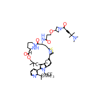 CO[C@@H](C)c1ncccc1-c1c2c3cc(ccc3n1CC(F)(F)F)-c1csc(n1)C[C@H](NC(=O)CCOC1CN(C(=O)C#CC(C)(C)N(C)C)C1)C(=O)N1CCC[C@H](N1)C(=O)OCC(C)(C)C2